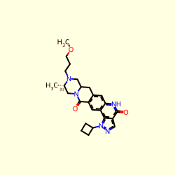 COCCCN1CC2Cc3cc4[nH]c(=O)c5cnn(C6CCC6)c5c4cc3C(=O)N2C[C@@H]1C